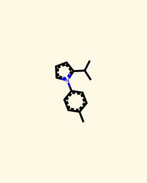 Cc1ccc(-n2cccc2C(C)C)cc1